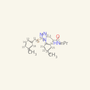 CCCNC(=O)CCc1nnc(SCc2cccc(C)c2)n1-c1ccc(C)cc1